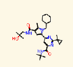 Cc1c(C(=O)NCC(C)(C)O)cc(-c2cc(C(=O)NC(C)(C)C)nc(C3(C)CC3)n2)n1CC1CCCCC1